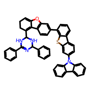 C1=c2oc3cc(-c4cccc5c4sc4cc(-n6c7ccccc7c7ccccc76)ccc45)ccc3c2=C(C2NC(c3ccccc3)=NC(c3ccccc3)N2)CC1